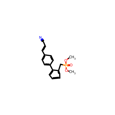 COP(=O)(Cc1ccccc1-c1ccc(C=CC#N)cc1)OC